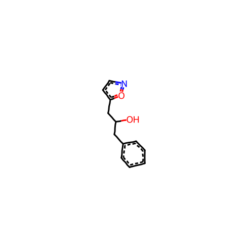 OC(Cc1ccccc1)Cc1ccno1